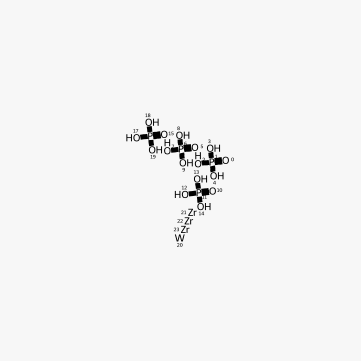 O=P(O)(O)O.O=P(O)(O)O.O=P(O)(O)O.O=P(O)(O)O.[W].[Zr].[Zr].[Zr]